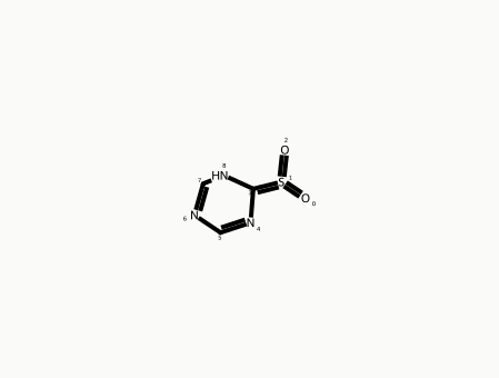 O=S(=O)=c1n[c]nc[nH]1